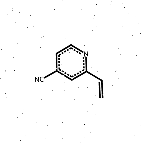 C=Cc1cc(C#N)ccn1